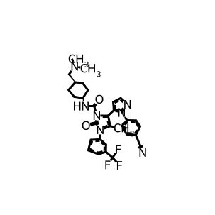 Cc1c(-c2ccnn2-c2ccc(C#N)cc2)n(C(=O)N[C@H]2CC[C@H](CN(C)C)CC2)c(=O)n1-c1cccc(C(F)(F)F)c1